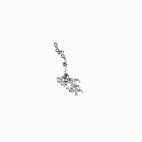 CN1CCN(c2ccc3nc(-c4ccc(OCCn5cc(CCCCc6cn(C[C@H]7OC(O[C@@H]8C(O)[C@H](N)CC(N)[C@H]8O[C@@H]8OC(CN)[C@@H](O)[C@H](O)C8N)[C@@H](O)[C@H]7O[C@H]7O[C@@H](CN)[C@@H](O)C(O)C7N)nn6)nn5)cc4)[nH]c3c2)CC1